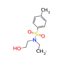 [CH2]CN(CCO)S(=O)(=O)c1ccc(C)cc1